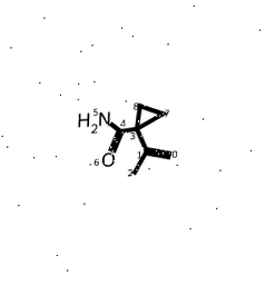 C=C(C)C1(C(N)=O)CC1